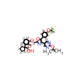 CC(C)Oc1ncc(-c2nc(COc3cccc(C4(C(=O)O)CCCC4)c3)oc2-c2ccc(OC(F)(F)F)cc2)cn1